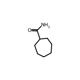 NC(=O)C1CCCCCC1